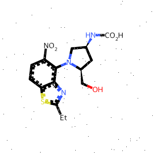 CCc1nc2c(N3C[C@@H](NC(=O)O)C[C@H]3CO)c([N+](=O)[O-])ccc2s1